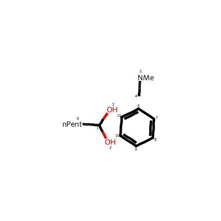 CCCCCC(O)O.CNC.c1ccccc1